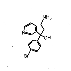 NCCC(O)(c1ccc(Br)cc1)c1cccnc1